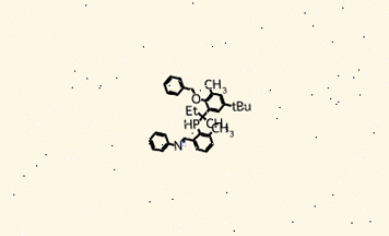 CCC(C)(Pc1c(C)cccc1/C=N/c1ccccc1)c1cc(C(C)(C)C)cc(C)c1OCc1ccccc1